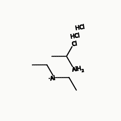 C[CH2][Al][CH2]C.C[CH]([AlH2])Cl.Cl.Cl